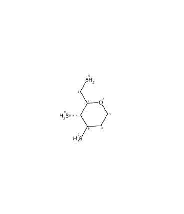 BCC1OCCC(B)[C@@H]1B